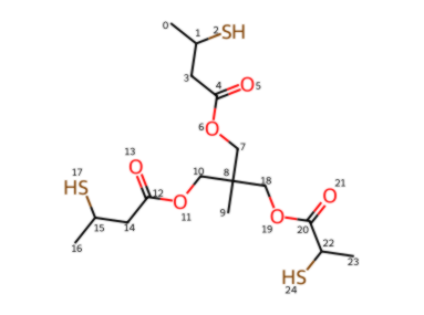 CC(S)CC(=O)OCC(C)(COC(=O)CC(C)S)COC(=O)C(C)S